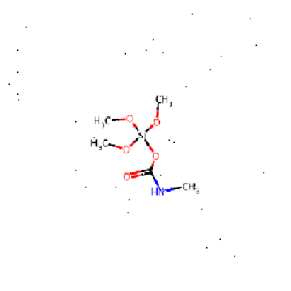 CNC(=O)O[Si](OC)(OC)OC